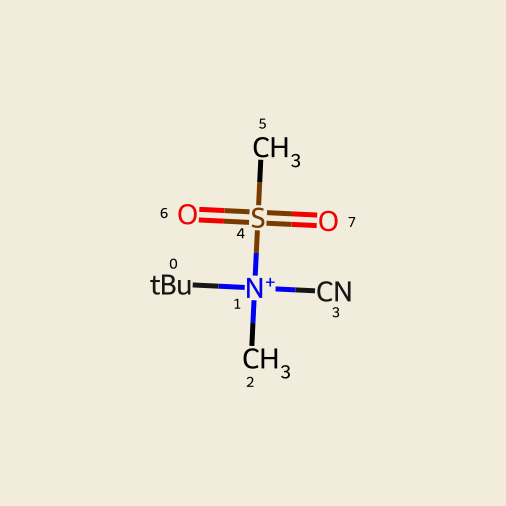 CC(C)(C)[N+](C)(C#N)S(C)(=O)=O